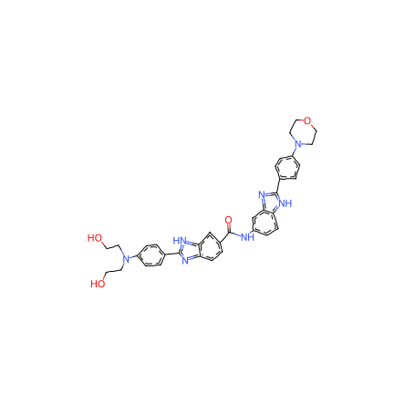 O=C(Nc1ccc2[nH]c(-c3ccc(N4CCOCC4)cc3)nc2c1)c1ccc2nc(-c3ccc(N(CCO)CCO)cc3)[nH]c2c1